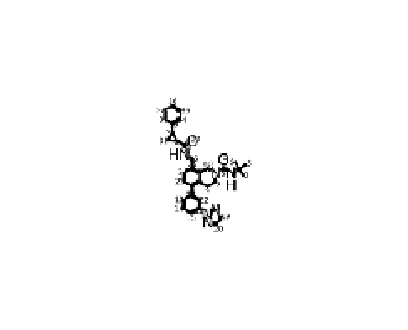 CC(C)(C)NC(=O)N1CCc2c(-c3cccc(-n4nccn4)c3)ccc(CNC(=O)C3C[C@H]3c3ccccc3)c2C1